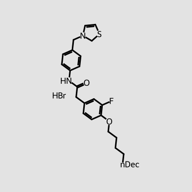 Br.CCCCCCCCCCCCCCOc1ccc(CC(=O)Nc2ccc(CN3C=CSC3)cc2)cc1F